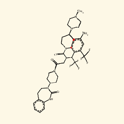 CN1CCN(C2CCN(C(=O)C(CC(=O)N3CCC(N4CCc5ccccc5NC4=O)CC3)C(c3ccc(N)cc3C(F)(F)F)C(F)(F)F)CC2)CC1